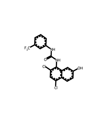 O=C(Nc1cccc(C(F)(F)F)c1)Nc1c(Cl)cc(Cl)c2ccc(O)cc12